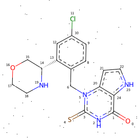 O=c1[nH]c(=S)n(Cc2ccc(Cl)cc2[C@H]2COCCN2)c2cc[nH]c12